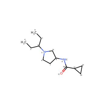 CCC(CC)N1CCC(NC(=O)C2CC2)C1